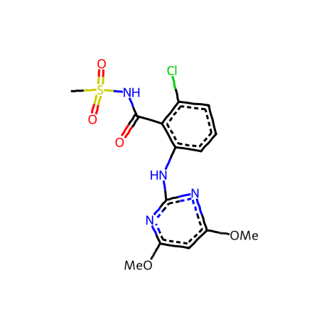 COc1cc(OC)nc(Nc2cccc(Cl)c2C(=O)NS(C)(=O)=O)n1